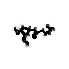 COc1ccc(CC(=O)C/C=C\N(C)C)cc1OC